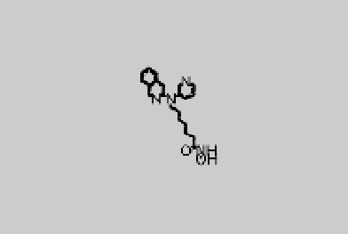 O=C(CCCCCCN(c1cccnc1)c1cc2ccccc2cn1)NO